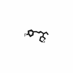 CC[C](C=CCc1ccc(F)cc1)C1CCCSC1